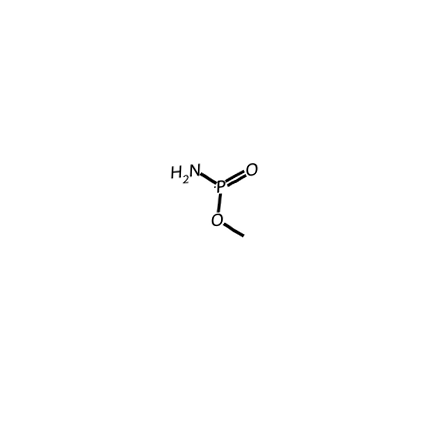 CO[P](N)=O